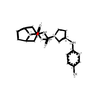 CC(C)(C)OC(=O)N1C2CCC1CC(NC(=O)N1CC[C@@H](Nc3ccc(C#N)cn3)C1)C2